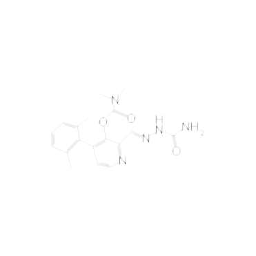 Cc1cccc(C)c1-c1ccnc(C=NNC(N)=O)c1OC(=O)N(C)C